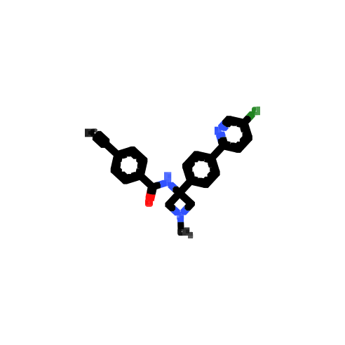 C#Cc1ccc(C(=O)NC2(c3ccc(-c4ccc(Cl)cn4)cc3)CN(C)C2)cc1